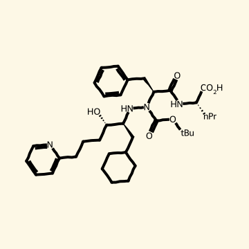 CCC[C@H](NC(=O)[C@H](Cc1ccccc1)N(N[C@@H](CC1CCCCC1)[C@@H](O)CCCc1ccccn1)C(=O)OC(C)(C)C)C(=O)O